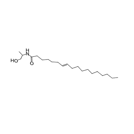 CCCCCCCCCCC=CCCCCCC(=O)NC(C)CO